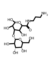 NCCCNC(=O)C(O)C(O)C(O[C@@H]1OC(CO)[C@H](O)[C@H](O)C1O)C(O)CO